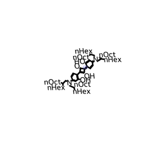 CCCCCCCCC(CCCCCC)CN(CC(CCCCCC)CCCCCCCC)c1ccc(C2=C(O)/C(=C3\C=CC(=[N+](CC(CCCCCC)CCCCCCCC)CC(CCCCCC)CCCCCCCC)C=C3O)C2=O)c(O)c1